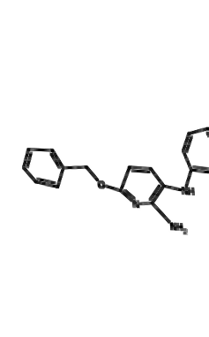 Nc1nc(OCc2ccccc2)ccc1Nc1ccccc1